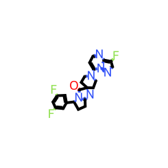 O=C1N2C(=NC13CCN(c1ccnc4c(F)cnn14)CC3)CCC2c1cc(F)cc(F)c1